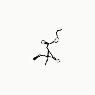 C=CC1(C)C(=O)C1C(=O)OCC